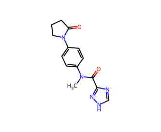 CN(C(=O)c1nc[nH]n1)c1ccc(N2CCCC2=O)cc1